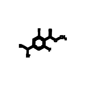 COC(=O)c1c(F)cc(C(Br)Br)cc1F